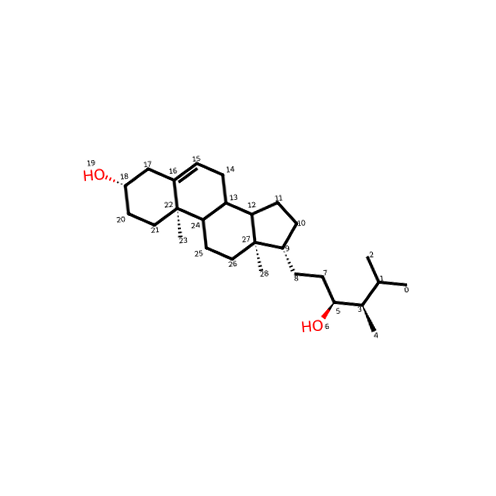 CC(C)[C@@H](C)[C@@H](O)CC[C@H]1CCC2C3CC=C4C[C@@H](O)CC[C@]4(C)C3CC[C@@]21C